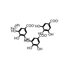 CC[CH2][Fe+3].O=C([O-])c1cc(O)c(O)c(O)c1.O=C([O-])c1cc(O)c(O)c(O)c1.O=C([O-])c1cc(O)c(O)c(O)c1